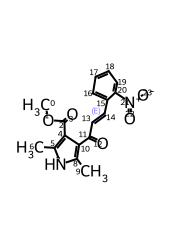 COC(=O)c1c(C)[nH]c(C)c1C(=O)/C=C/c1ccccc1[N+](=O)[O-]